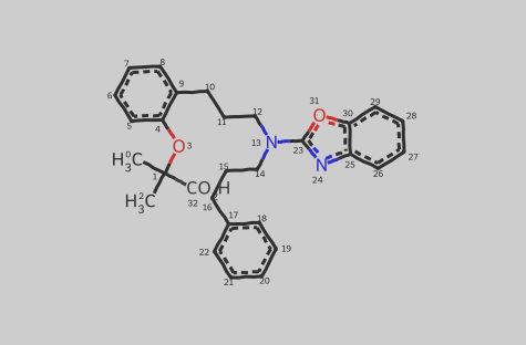 CC(C)(Oc1ccccc1CCCN(CCCc1ccccc1)c1nc2ccccc2o1)C(=O)O